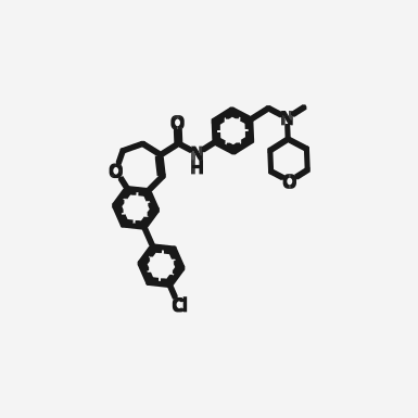 CN(Cc1ccc(NC(=O)C2=Cc3cc(-c4ccc(Cl)cc4)ccc3OCC2)cc1)C1CCOCC1